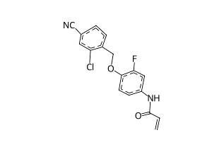 C=CC(=O)Nc1ccc(OCc2ccc(C#N)cc2Cl)c(F)c1